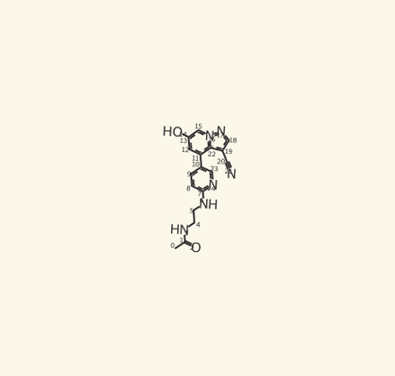 CC(=O)NCCNc1ccc(-c2cc(O)cn3ncc(C#N)c23)cn1